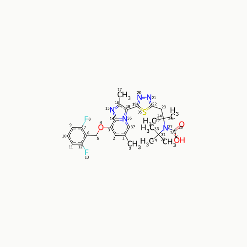 Cc1cc(OCc2c(F)cccc2F)c2nc(C)c(-c3nnc(CC(C)(C)N(C(=O)O)C(C)(C)C)s3)n2c1